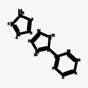 c1c[nH]nn1.c1ccc(-c2nccs2)cc1